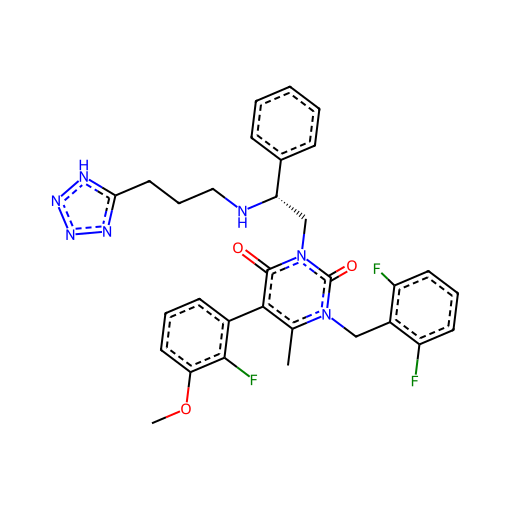 COc1cccc(-c2c(C)n(Cc3c(F)cccc3F)c(=O)n(C[C@H](NCCCc3nnn[nH]3)c3ccccc3)c2=O)c1F